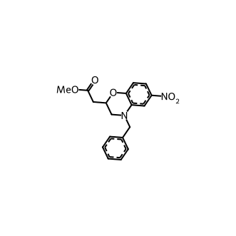 COC(=O)CC1CN(Cc2ccccc2)c2cc([N+](=O)[O-])ccc2O1